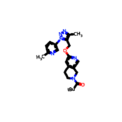 Cc1ccc(-n2nnc(C)c2COc2cc3c(cn2)CN(C(=O)C(C)(C)C)CC3)cn1